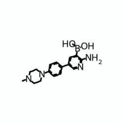 CN1CCN(c2ccc(-c3cnc(N)c(B(O)O)c3)cc2)CC1